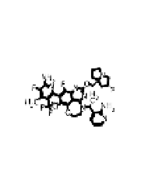 Cc1c(F)c(N)nc(-c2c(Cl)c3c4c(nc(OC[C@@]56CCCN5C[C@H](F)C6)nc4c2F)N([C@H](C)c2cccnc2N)CCO3)c1C(F)(F)F